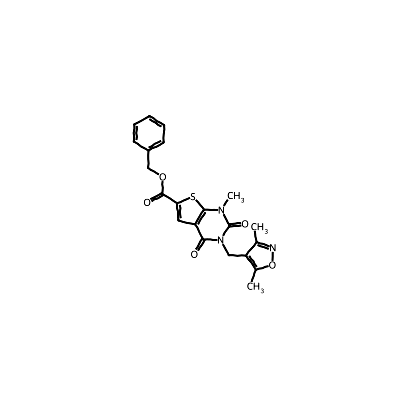 Cc1noc(C)c1Cn1c(=O)c2cc(C(=O)OCc3ccccc3)sc2n(C)c1=O